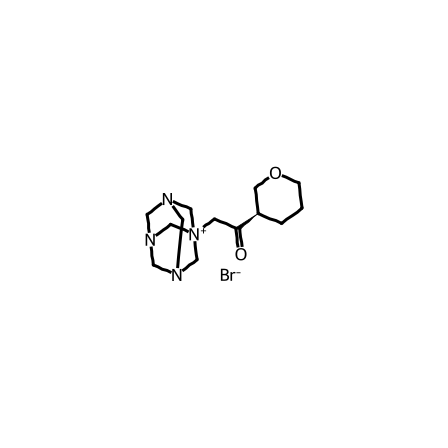 O=C(C[N+]12CN3CN(CN(C3)C1)C2)[C@@H]1CCCOC1.[Br-]